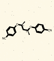 C[C@@H](C[C@H](C)Oc1ccc(C#N)cc1)Oc1ccc(C#N)cc1